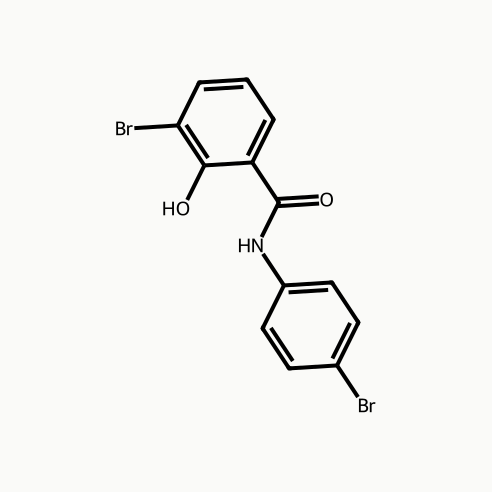 O=C(Nc1ccc(Br)cc1)c1cccc(Br)c1O